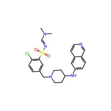 CN(C)/C=N/S(=O)(=O)c1cc(CN2CCC(Nc3ccc4cnccc4c3)CC2)ccc1Cl